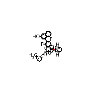 CN1CCC[C@H]1COc1nc(N2C[C@H]3CC[C@@H](C2)N3C(=O)CC#N)c2cc(F)c(-c3cc(O)cc4ccccc34)c(F)c2n1